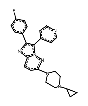 Fc1ccc(-c2nc3ccc(N4CCN(C5CC5)CC4)nn3c2-c2ccncc2)cc1